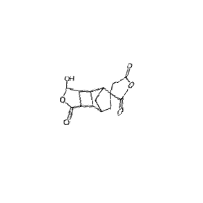 O=C1CC2(CC3CC2C2C3C3C(=O)OC(O)C32)C(=O)O1